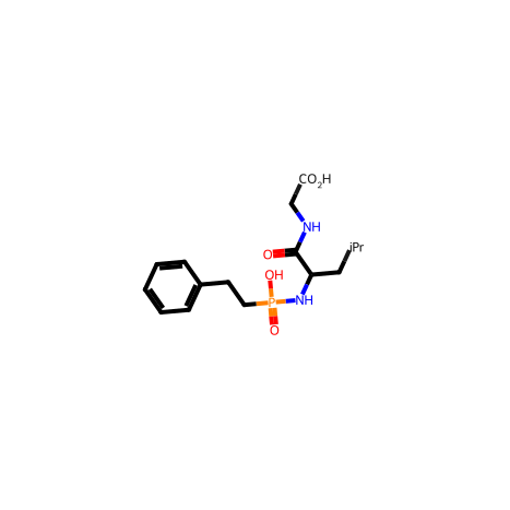 CC(C)CC(NP(=O)(O)CCc1ccccc1)C(=O)NCC(=O)O